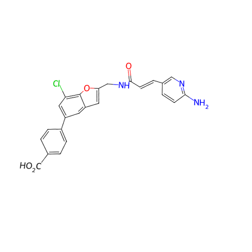 Nc1ccc(C=CC(=O)NCc2cc3cc(-c4ccc(C(=O)O)cc4)cc(Cl)c3o2)cn1